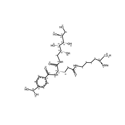 CN[C@@H](CCCCNC(=O)CC[C@H](NC(=O)c1ccc(B(O)O)cc1)C(=O)NC[C@@H](O)[C@H](O)[C@@H](O)[C@@H](O)CO)C(=O)O